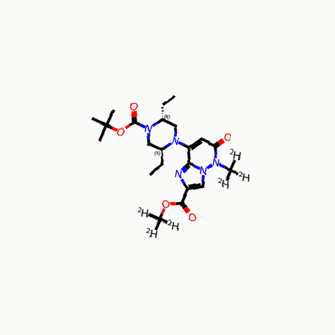 [2H]C([2H])([2H])OC(=O)c1cn2c(n1)c(N1C[C@@H](CC)N(C(=O)OC(C)(C)C)C[C@@H]1CC)cc(=O)n2C([2H])([2H])[2H]